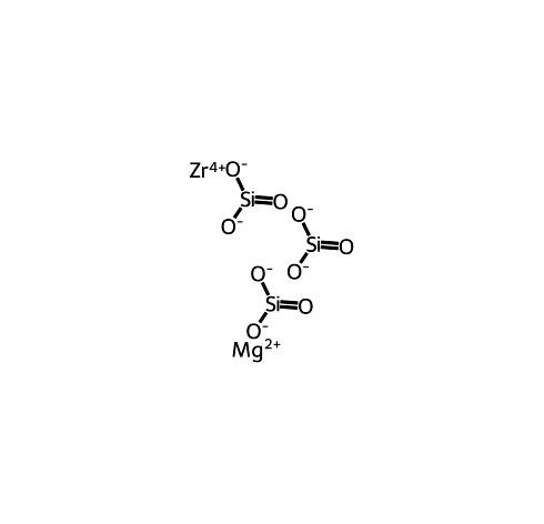 O=[Si]([O-])[O-].O=[Si]([O-])[O-].O=[Si]([O-])[O-].[Mg+2].[Zr+4]